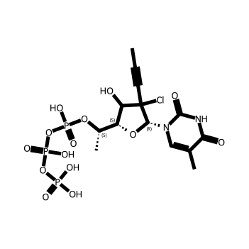 CC#CC1(Cl)C(O)[C@@H]([C@H](C)OP(=O)(O)OP(=O)(O)OP(=O)(O)O)O[C@H]1n1cc(C)c(=O)[nH]c1=O